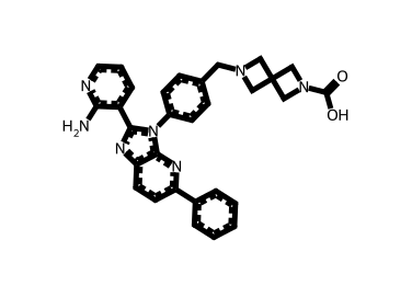 Nc1ncccc1-c1nc2ccc(-c3ccccc3)nc2n1-c1ccc(CN2CC3(C2)CN(C(=O)O)C3)cc1